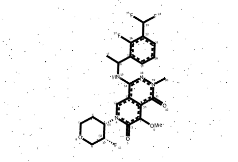 COc1c(=O)n([C@H]2CCOC[C@H]2F)cc2c(NC(C)c3cccc(C(F)F)c3F)nn(C)c(=O)c12